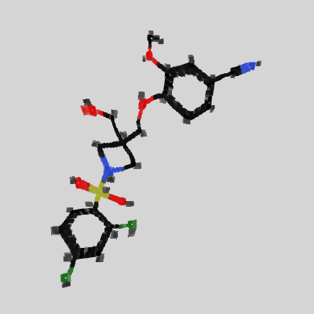 COc1cc(C#N)ccc1OCC1(CO)CN(S(=O)(=O)c2ccc(Cl)cc2Cl)C1